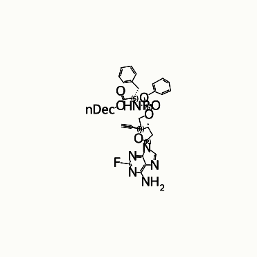 C#C[C@@]1(CO[P@@](=O)(N[C@@H](Cc2ccccc2)C(=O)OCCCCCCCCCC)Oc2ccccc2)[CH]C[C@H](n2cnc3c(N)nc(F)nc32)O1